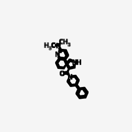 CN(C)c1ccc2c(n1)CCC[C@]21CNC[C@H]1C(=O)N1CCC(c2ccccc2)CC1